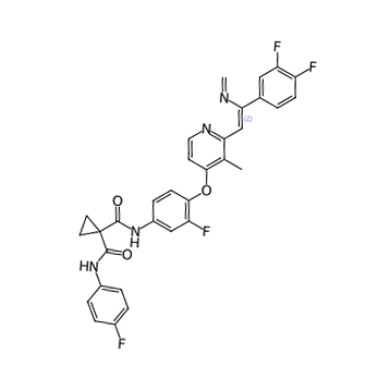 C=N/C(=C\c1nccc(Oc2ccc(NC(=O)C3(C(=O)Nc4ccc(F)cc4)CC3)cc2F)c1C)c1ccc(F)c(F)c1